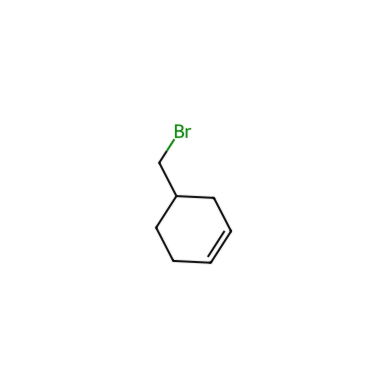 BrCC1CC=CCC1